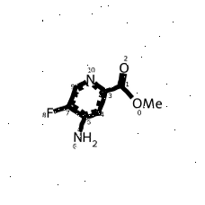 COC(=O)c1cc(N)c(F)cn1